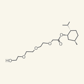 CC(C)[C@@H]1CC[C@@H](C)C[C@H]1OC(=O)COCCOCCOCCO